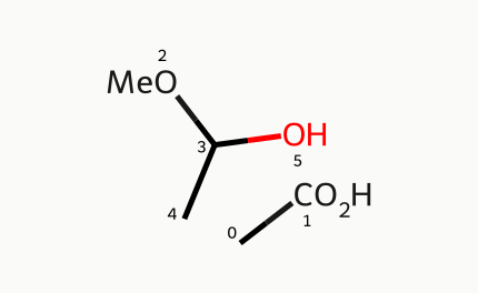 CC(=O)O.COC(C)O